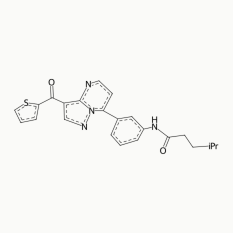 CC(C)CCC(=O)Nc1cccc(-c2ccnc3c(C(=O)c4cccs4)cnn23)c1